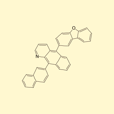 c1ccc2cc(-c3c4ccccc4c(-c4ccc5oc6ccccc6c5c4)c4cccnc34)ccc2c1